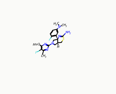 COc1nc(N2C[C@H]3CSC(N)=N[C@@]3(c3cc(N(C)C)ccc3F)C2)nc(C)c1F